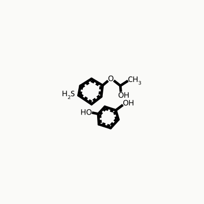 CC(O)Oc1ccccc1.Oc1cccc(O)c1.S